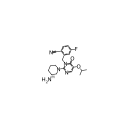 CC(C)Oc1cnc(N2CCC[C@@H](N)C2)n(Cc2cc(F)ccc2C#N)c1=O